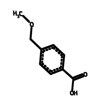 COCc1ccc(C(=O)O)cc1